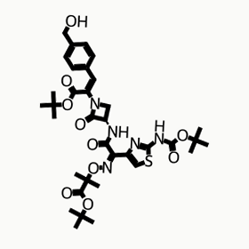 CC(C)(C)OC(=O)Nc1nc(/C(=N/OC(C)(C)C(=O)OC(C)(C)C)C(=O)N[C@H]2CN(/C(=C/c3ccc(CO)cc3)C(=O)OC(C)(C)C)C2=O)cs1